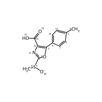 Cc1ccc(-c2oc([S+](C)[O-])nc2C(=O)O)cc1